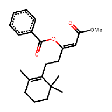 COC(=O)C=C(CCC1=C(C)CCCC1(C)C)OC(=O)c1ccccc1